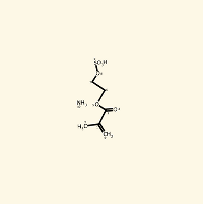 C=C(C)C(=O)OCCOS(=O)(=O)O.N